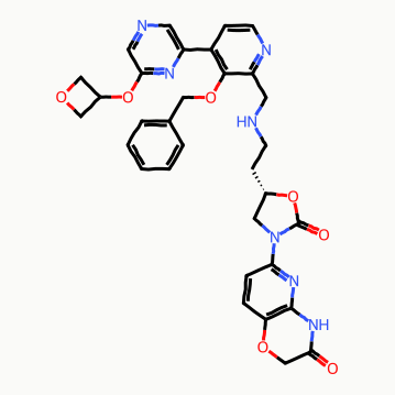 O=C1COc2ccc(N3C[C@H](CCNCc4nccc(-c5cncc(OC6COC6)n5)c4OCc4ccccc4)OC3=O)nc2N1